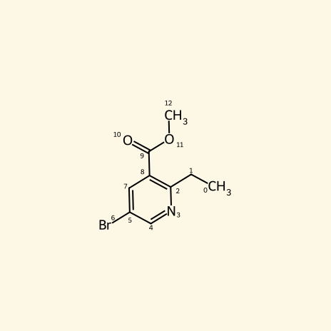 CCc1ncc(Br)cc1C(=O)OC